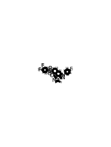 Cc1cnc(C(=O)[C@@]23Cc4cnn(-c5ccc(F)cc5)c4C=C2CC[C@@H](S(=O)(=O)c2ccc(F)c(F)c2)C3)s1